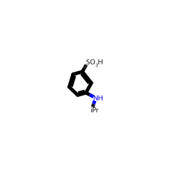 CC(C)Nc1cccc(S(=O)(=O)O)c1